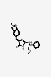 COC[C@H](NC1=N/C(=C\c2ccc3nn(C)cc3c2)C(=O)N1)c1ccccc1